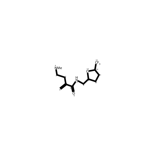 C=C(CCNC)C(=O)NCC1CCC(C(F)(F)F)O1